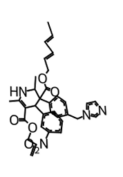 C=CCOC(=O)C1=C(C)NC(C)C(C(=O)OCC=CC=CC)(c2ccc(Cn3ccnc3)cc2)C1c1cccc([N+](=O)[O-])c1